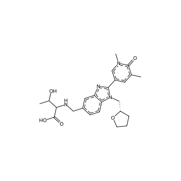 Cc1cc(-c2nc3cc(CNC(C(=O)O)C(C)O)ccc3n2C[C@@H]2CCCO2)cn(C)c1=O